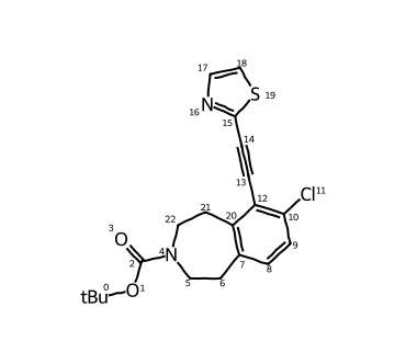 CC(C)(C)OC(=O)N1CCc2ccc(Cl)c(C#Cc3nccs3)c2CC1